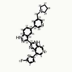 Fc1ccc(-c2cncc3[nH]c(-c4n[nH]c5ccc(-c6cncc(CN7CCCC7)c6)cc45)nc23)s1